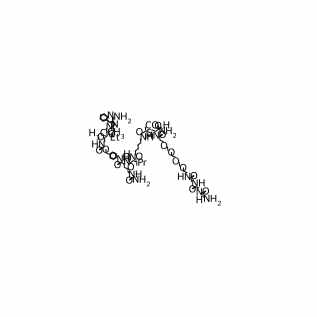 CCOCc1nc2c(N)nc3ccccc3c2n1CC(C)(C)CC(=O)CNC(=O)OCc1ccc(NC(=O)C(CCCNC(N)=O)NC(=O)C(NC(=O)CCCCCNC(=O)C(CC(=O)O)SCC(NC(=O)CCOCCOCCOCCOCCNC(=O)CNC(=O)CNC(=O)CN)C(N)=O)C(C)C)cc1